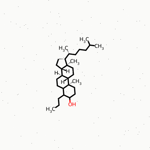 CCCC1C(O)CC[C@@]2(C)C1CC[C@H]1[C@@H]3CC[C@H]([C@H](C)CCCC(C)C)[C@@]3(C)CC[C@@H]12